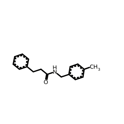 Cc1ccc(CNC(=O)CCc2ccccc2)cc1